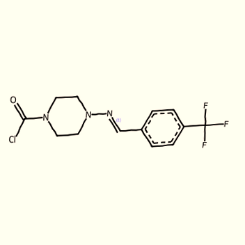 O=C(Cl)N1CCN(/N=C/c2ccc(C(F)(F)F)cc2)CC1